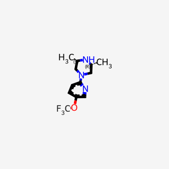 C[C@@H]1CN(c2ccc(OC(F)(F)F)cn2)C[C@H](C)N1